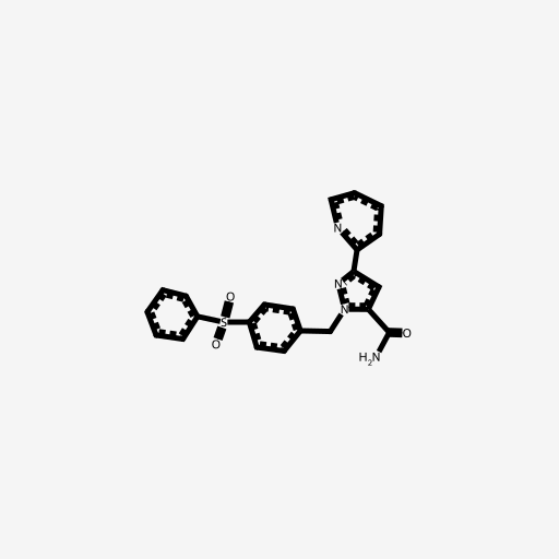 NC(=O)c1cc(-c2ccccn2)nn1Cc1ccc(S(=O)(=O)c2ccccc2)cc1